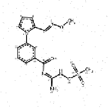 CON=Cc1cccn1-c1cccc(C(=O)N=C(N)NOS(C)(=O)=O)c1